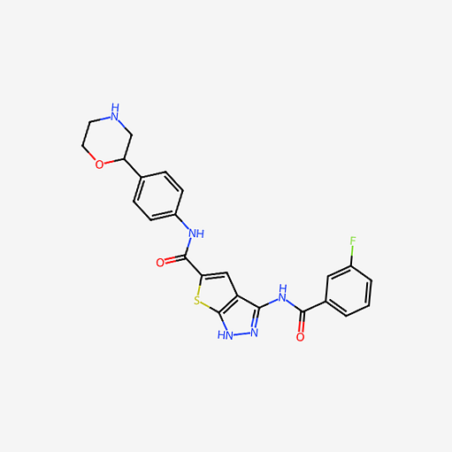 O=C(Nc1n[nH]c2sc(C(=O)Nc3ccc(C4CNCCO4)cc3)cc12)c1cccc(F)c1